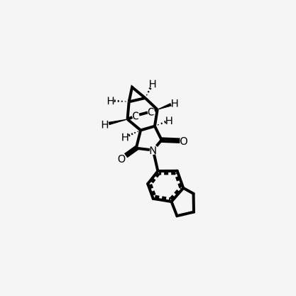 O=C1[C@@H]2[C@@H]3CC[C@@H]([C@H]4C[C@H]43)[C@@H]2C(=O)N1c1ccc2c(c1)CCC2